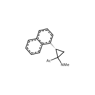 CNC1(C(C)=O)C[C@H]1c1cccc2ccccc12